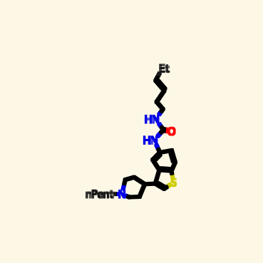 CCC=CCCNC(=O)Nc1ccc2scc(C3CCN(CCCCC)CC3)c2c1